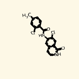 Cc1ccc(C(=O)Nc2cc3cc[nH]c(=O)c3cc2Cl)c(Cl)c1